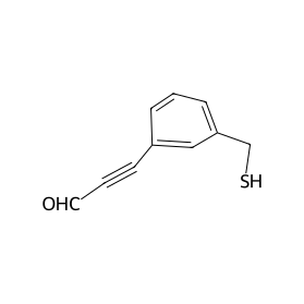 O=CC#Cc1cccc(CS)c1